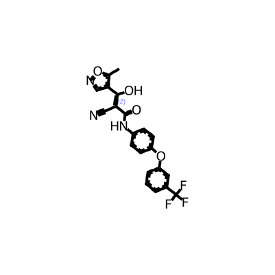 Cc1oncc1/C(O)=C(\C#N)C(=O)Nc1ccc(Oc2cccc(C(F)(F)F)c2)cc1